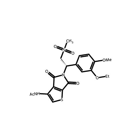 CCOc1cc([C@@H](CS(C)(=O)=O)N2C(=O)c3scc(NC(C)=O)c3C2=O)ccc1OC